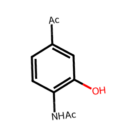 CC(=O)Nc1ccc(C(C)=O)cc1O